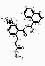 CC(NC(=O)c1ccccc1CCC(=O)NN)c1cccc2ccccc12.NN.O